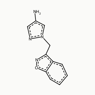 Nc1cnn(Cc2noc3ccccc23)c1